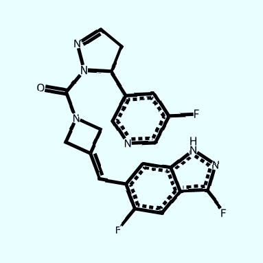 O=C(N1CC(=Cc2cc3[nH]nc(F)c3cc2F)C1)N1N=CCC1c1cncc(F)c1